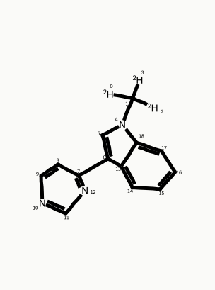 [2H]C([2H])([2H])n1cc(-c2ccncn2)c2ccccc21